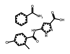 Cc1cc(Cl)ccc1C(=O)Nc1cc(C(=O)O)n[nH]1.NC(=O)c1ccccc1